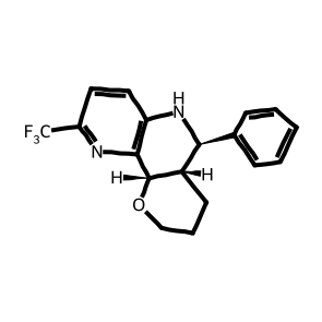 FC(F)(F)c1ccc2c(n1)[C@H]1OCCC[C@H]1[C@H](c1ccccc1)N2